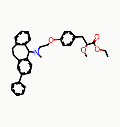 CCOC(=O)C(Cc1ccc(OCCN(C)C2c3ccccc3CCc3cc(-c4ccccc4)ccc32)cc1)OC